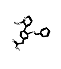 COc1ncccc1-c1ccc([CH]C(N)=O)cc1OCc1ccccc1